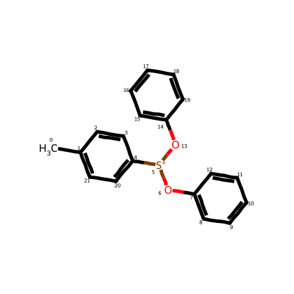 Cc1ccc([S+](Oc2ccccc2)Oc2ccccc2)cc1